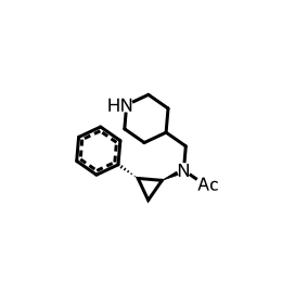 CC(=O)N(CC1CCNCC1)[C@H]1C[C@@H]1c1ccccc1